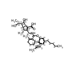 C=C(C)[C@@H]1CCC(C)=C[C@H]1c1c(O)cc(CCCCC)cc1OC(=S)NCC1=C(C(=O)O)N2C(O)[C@H]([C@@H](C)O)C2[C@H]1C